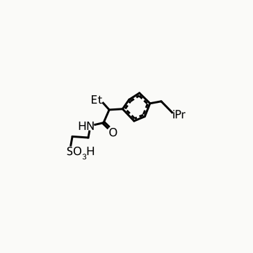 CCC(C(=O)NCCS(=O)(=O)O)c1ccc(CC(C)C)cc1